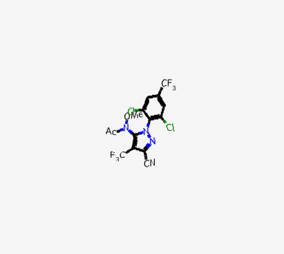 CON(C(C)=O)c1c(C(F)(F)F)c(C#N)nn1-c1c(Cl)cc(C(F)(F)F)cc1Cl